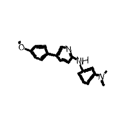 COc1ccc(-c2ccc(Nc3cccc(N(C)C)c3)nc2)cc1